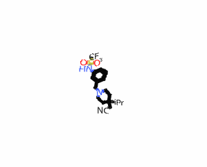 CC(C)C1(CC#N)CCN(Cc2cccc(NS(=O)(=O)C(F)(F)F)c2)CC1